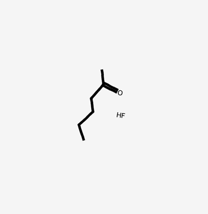 CCCCC(C)=O.F